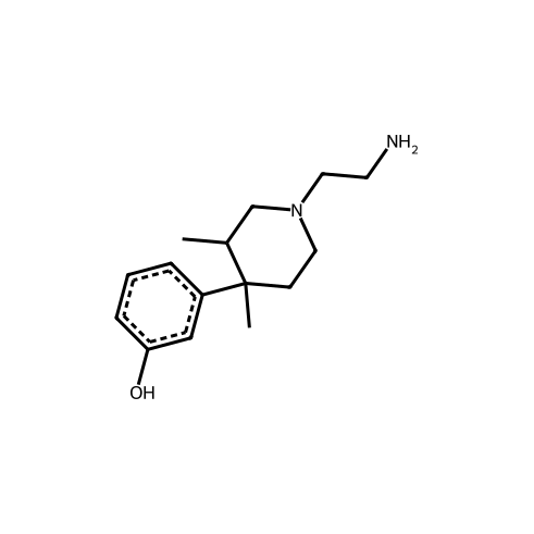 CC1CN(CCN)CCC1(C)c1cccc(O)c1